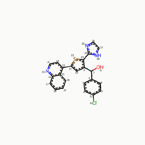 OC(c1ccc(Cl)cc1)c1cc(-c2ccnc3ccccc23)sc1-c1ncc[nH]1